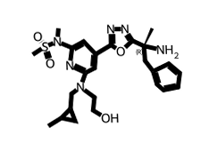 CC1CC1CN(CCO)c1cc(-c2nnc([C@](C)(N)Cc3ccccc3)o2)cc(N(C)S(C)(=O)=O)n1